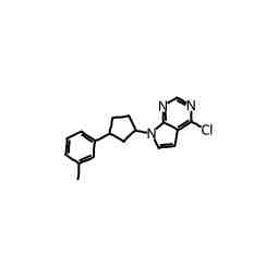 Cc1cccc(C2CCC(n3ccc4c(Cl)ncnc43)C2)c1